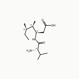 CC[C@@H](C)[C@@H](C)[C@@H](CC(=O)O)NC(=O)[C@@H](N)C(C)C